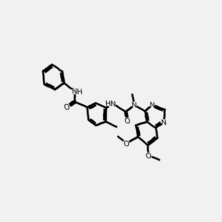 COc1cc2ncnc(N(C)C(=O)Nc3cc(C(=O)Nc4ccccc4)ccc3C)c2cc1OC